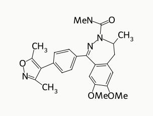 CNC(=O)N1N=C(c2ccc(-c3c(C)noc3C)cc2)c2cc(OC)c(OC)cc2CC1C